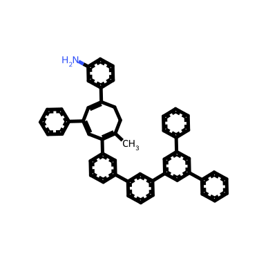 C/C1=C(c2cccc(-c3cccc(-c4cc(-c5ccccc5)cc(-c5ccccc5)c4)c3)c2)/C=C(c2ccccc2)\C=C(\c2cccc(N)c2)CC1